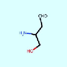 NC(CO)C[C]=O